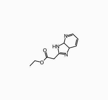 CCOC(=O)CC1=NC2C=CC=NC2N1